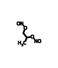 CC(CON=O)ON=O